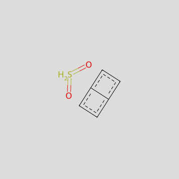 O=[SH2]=O.c1cc2ccc1-2